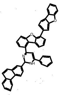 C1=C(c2ccccc2)NC(c2ccc3c(ccc4ccccc43)c2)N=C1c1cccc2oc3c(-c4ccc5c(c4)oc4ccccc45)cccc3c12